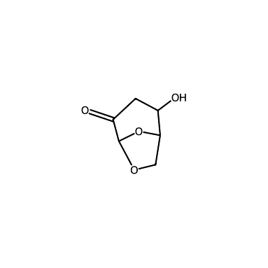 O=C1CC(O)C2COC1O2